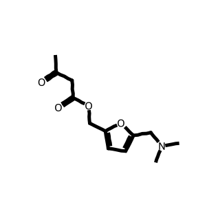 CC(=O)CC(=O)OCc1ccc(CN(C)C)o1